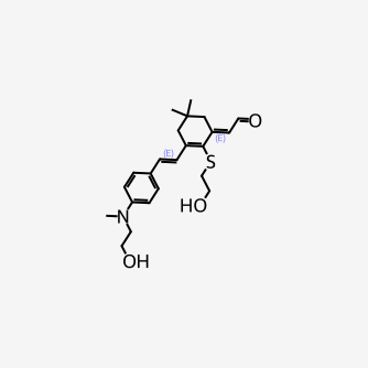 CN(CCO)c1ccc(/C=C/C2=C(SCCO)C(=C/C=O)/CC(C)(C)C2)cc1